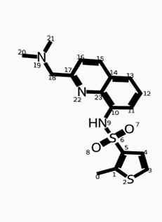 Cc1sccc1S(=O)(=O)Nc1cccc2ccc(CN(C)C)nc12